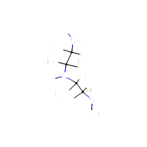 CNC(C)(C)C(C)(C)[N]([Ce])C(C)(C)C(C)(C)NC